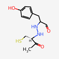 CC(=O)[C@H](CS)NNC(C=O)Cc1ccc(O)cc1